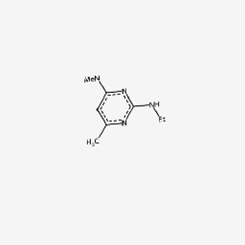 CCNc1nc(C)cc(NC)n1